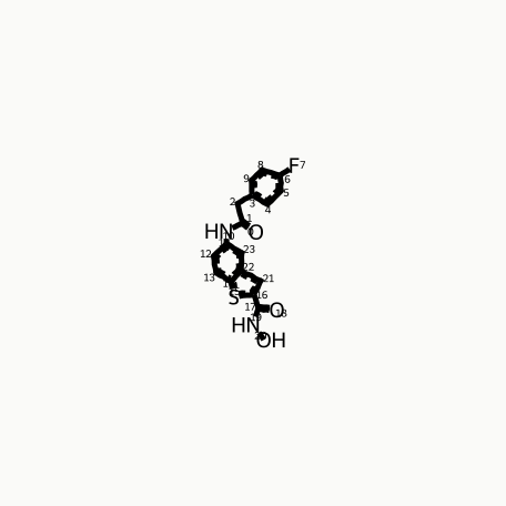 O=C(Cc1ccc(F)cc1)Nc1ccc2sc(C(=O)NO)cc2c1